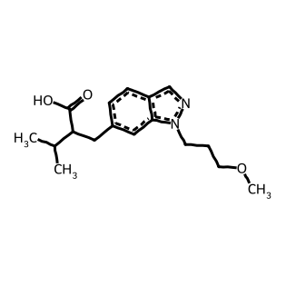 COCCCn1ncc2ccc(CC(C(=O)O)C(C)C)cc21